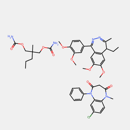 CCC1C(C)=NN=C(c2ccc(OC)c(OC)c2)c2cc(OC)c(OC)cc21.CCCC(C)(COC(N)=O)COC(N)=O.CN1C(=O)CC(=O)N(c2ccccc2)c2cc(Cl)ccc21